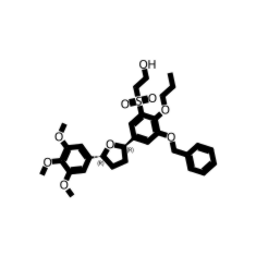 CCCOc1c(OCc2ccccc2)cc([C@H]2CC[C@H](c3cc(OC)c(OC)c(OC)c3)O2)cc1S(=O)(=O)CCO